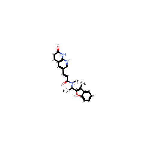 Cc1c(C(C)N(C)C(=O)/C=C/c2cnc3c(c2)CCC(=O)N3)oc2ccccc12